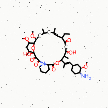 CCC1/C=C(\C)CC(C)CC(OC)C2OC(O)(C(=O)C(=O)N3CCCCC3C(=O)OC(C(C)=CC3CCC(N)C(OC)C3)C(C)C(O)CC1=O)C(C)CC2OC